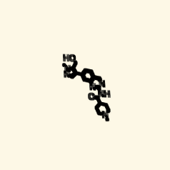 CN1CCC(C(=O)Nc2ncc3ccc(-c4cnn(C)c4CO)cc3n2)CC1